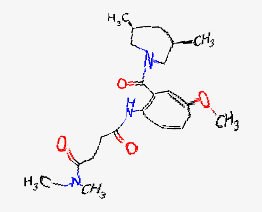 COc1ccc(NC(=O)CCC(=O)N(C)C)c(C(=O)N2C[C@H](C)C[C@H](C)C2)c1